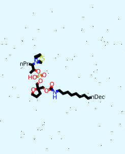 CCCCCCCCCCCCCCCCCCNC(=O)OCC1(COP(=O)(O)OC(C)C(CCC)[n+]2ccsc2)CCCO1